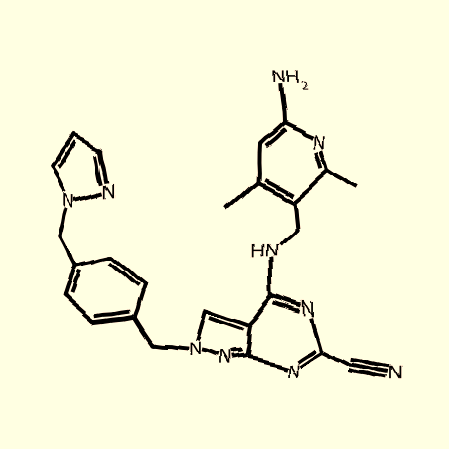 Cc1cc(N)nc(C)c1CNc1nc(C#N)nc2nn(Cc3ccc(Cn4cccn4)cc3)cc12